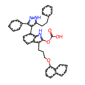 O=C(O)Oc1[nH]c2c(-c3c(-c4ccccc4)n[nH]c3CCc3ccccc3)cccc2c1CCCOc1cccc2ccccc12